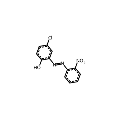 O=[N+]([O-])c1ccccc1N=Nc1cc(Cl)ccc1O